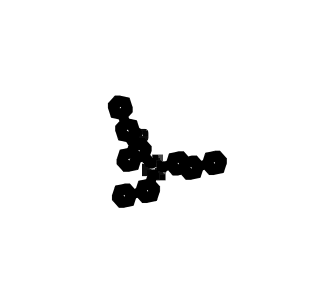 c1ccc(-c2cccc(-c3nc(-c4ccc5cc(-c6ccccc6)ccc5c4)nc(-c4cc5oc6cc(-c7ccccc7)ccc6c5c5ccccc45)n3)c2)cc1